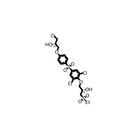 CCS(=O)(=O)C[C@@H](O)COc1c(Cl)cc(S(=O)(=O)c2ccc(OC[C@H](O)CCl)cc2)cc1Cl